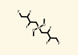 C[O][Sn]([CH2]C(F)C(F)CF)([CH2]C(F)C(F)CF)[O]C